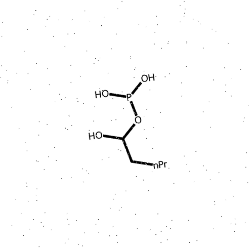 CCCCC(O)OP(O)O